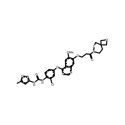 COc1cc2c(Oc3ccc(NC(=O)Nc4cc(C)on4)c(Cl)c3)ncnc2cc1OCCC(=O)N1CCC2(CC1)COC2